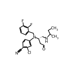 CCC(C)NC[C@H](CC=O)N(Cc1cccc(F)c1F)c1ccc(C#N)c(Cl)c1